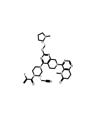 C=C(F)C(=O)N1CCN(c2nc(OC[C@@H]3CCCN3C)nc3c2CCN(c2ncnc4c2N(C)C(=O)CC4)C3)C[C@@H]1CC#N